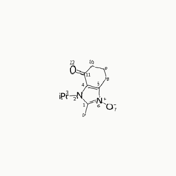 Cc1n(C(C)C)c2c([n+]1[O-])CCCC2=O